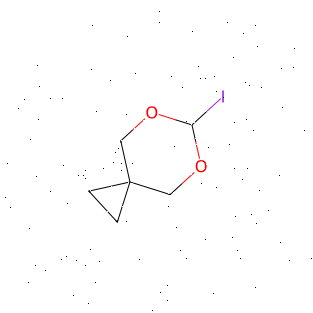 IC1OCC2(CC2)CO1